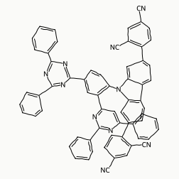 N#Cc1ccc(-c2ccc3c4ccc(-c5ccc(C#N)cc5C#N)cc4n(-c4ccc(-c5nc(-c6ccccc6)nc(-c6ccccc6)n5)cc4-c4cc(-c5ccccc5)nc(-c5ccccc5)n4)c3c2)c(C#N)c1